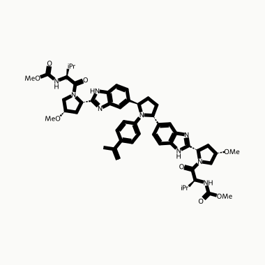 C=C(C)c1ccc(N2[C@@H](c3ccc4[nH]c([C@@H]5C[C@H](OC)CN5C(=O)[C@@H](NC(=O)OC)C(C)C)nc4c3)CC[C@@H]2c2ccc3[nH]c([C@@H]4C[C@H](OC)CN4C(=O)[C@@H](NC(=O)OC)C(C)C)nc3c2)cc1